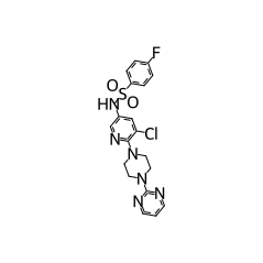 O=S(=O)(Nc1cnc(N2CCN(c3ncccn3)CC2)c(Cl)c1)c1ccc(F)cc1